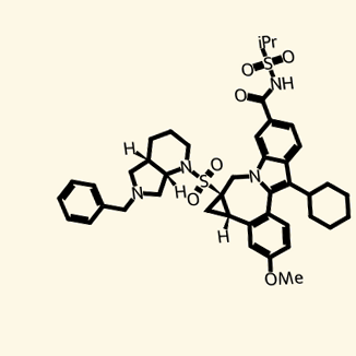 COc1ccc2c(c1)[C@@H]1C[C@]1(S(=O)(=O)N1CCC[C@H]3CN(Cc4ccccc4)C[C@H]31)Cn1c-2c(C2CCCCC2)c2ccc(C(=O)NS(=O)(=O)C(C)C)cc21